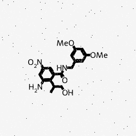 COc1cc(CNC(=O)c2cc([N+](=O)[O-])cc(N)c2C(C)CO)cc(OC)c1